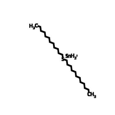 CCCCCCCCCCCCSCCCCCCCCCCCC.[SnH2]